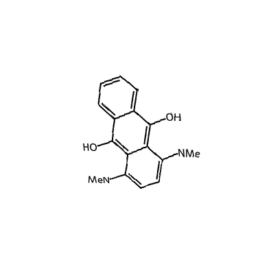 CNc1ccc(NC)c2c(O)c3ccccc3c(O)c12